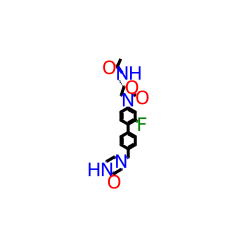 CC(=O)NC[C@H]1CN(c2ccc(-c3ccc(CN4CCNC(=O)C4)cc3)c(F)c2)C(=O)O1